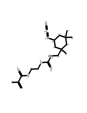 C=C(C)C(=O)OCCOC(=O)NCC1(C)CC(N=C=O)CC(C)(C)C1